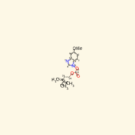 COc1ccc2c(c1)ncn2OC(=O)OCC[Si](C)(C)C